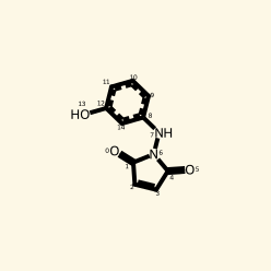 O=C1C=CC(=O)N1Nc1cccc(O)c1